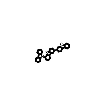 c1ccc2c(c1)oc1cc(-c3ccc4sc5c(-n6c7ccccc7c7ccccc76)cccc5c4c3)ccc12